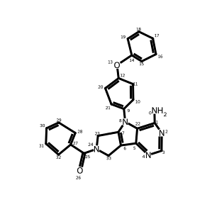 Nc1ncnc2c3c(n(-c4ccc(Oc5ccccc5)cc4)c12)CN(C(=O)c1ccccc1)C3